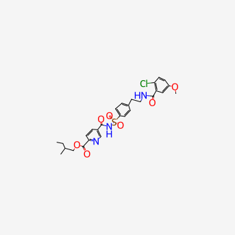 CCC(C)COC(=O)c1ccc(C(=O)NS(=O)(=O)c2ccc(CCNC(=O)c3cc(OC)ccc3Cl)cc2)cn1